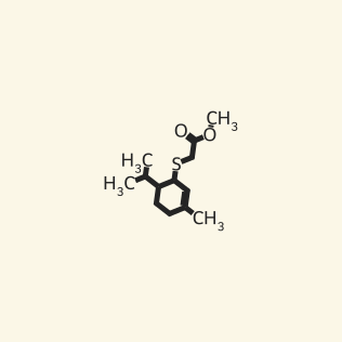 COC(=O)CSC1C=C(C)CCC1C(C)C